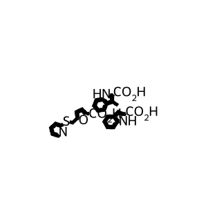 Cc1c(C(=O)O)[nH]c2ccccc12.O=C(O)c1cc2ccccc2[nH]1.O=C(O)c1ccc(CSc2ccccn2)o1